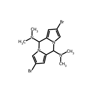 CN(C)C1c2cc(Br)cn2C(N(C)C)c2cc(Br)cn21